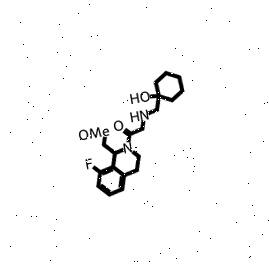 COCC1c2c(F)cccc2CCN1C(=O)CNCC1(O)CCCCC1